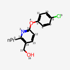 CCCc1nc(Oc2ccc(Cl)cc2)ccc1CO